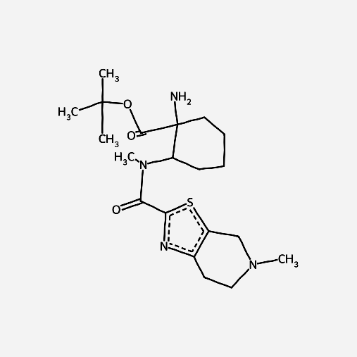 CN1CCc2nc(C(=O)N(C)C3CCCCC3(N)C(=O)OC(C)(C)C)sc2C1